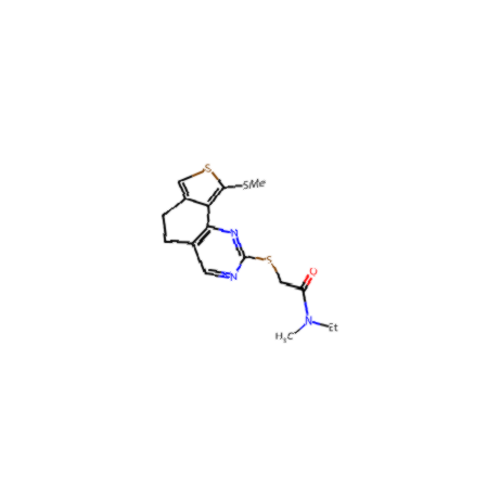 CCN(C)C(=O)CSc1ncc2c(n1)-c1c(csc1SC)CC2